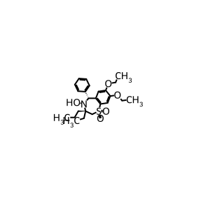 CCC[C@]1(CC)CS(=O)(=O)c2cc(OCC)c(OCC)cc2[C@@H](c2ccccc2)N1O